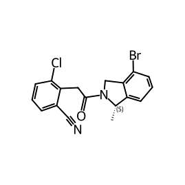 C[C@H]1c2cccc(Br)c2CN1C(=O)Cc1c(Cl)cccc1C#N